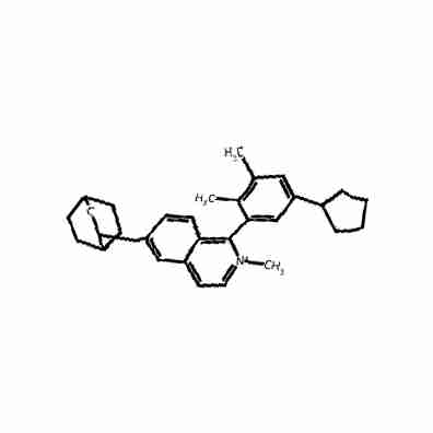 Cc1cc(C2CCCC2)cc(-c2c3ccc(C4CC5CCC4CC5)cc3cc[n+]2C)c1C